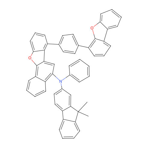 CC1(C)c2ccccc2-c2ccc(N(c3ccccc3)c3cc4c(oc5cccc(-c6ccc(-c7cccc8c7oc7ccccc78)cc6)c54)c4ccccc34)cc21